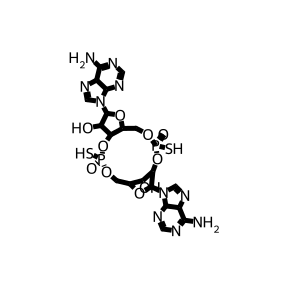 NC1=NC=NC2C1N=CN2C1OC2COP(=O)(S)OC3C(O)C(COP(=O)(S)OC2C1O)OC3N1C=NC2C(N)=NC=NC21